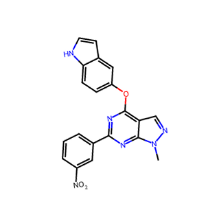 Cn1ncc2c(Oc3ccc4[nH]ccc4c3)nc(-c3cccc([N+](=O)[O-])c3)nc21